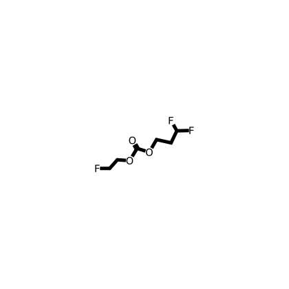 O=C(OCCF)OCCC(F)F